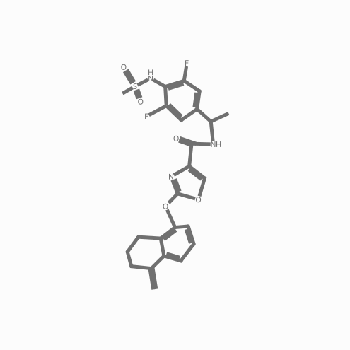 C=C1CCCc2c(Oc3nc(C(=O)NC(C)c4cc(F)c(NS(C)(=O)=O)c(F)c4)co3)cccc21